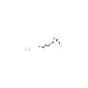 CCCCCCCCCCCC1=NC(CC)(CO)CO1